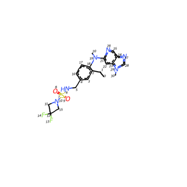 CCc1cc(CNS(=O)(=O)N2CC(F)(F)C2)ccc1N(C)c1cc2c(cn1)ncn2C